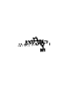 CNc1ncc2c(n1)N(C)C(=O)N(c1cc(NC(=O)c3cc(-n4cnnc4)cc(C(F)(F)F)c3)ccc1C)C2